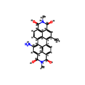 CC(C)N1C(=O)c2ccc3c4c([N+](=O)[O-])cc5c6c(ccc(c7c(N)cc(c2c37)C1=O)c64)C(=O)N(C(C)C)C5=O